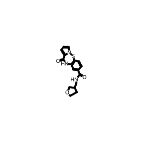 O=C(NCC1CCOC1)c1ccc2c(c1)NC(=O)c1cccn1S2